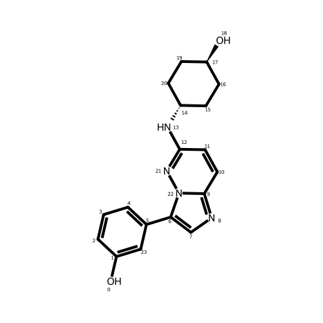 Oc1cccc(-c2cnc3ccc(N[C@H]4CC[C@H](O)CC4)nn23)c1